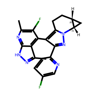 Cc1nc2[nH]nc(C)c2c(-c2c(-c3ccc(F)cn3)nn3c2CC[C@@H]2C[C@@H]23)c1F